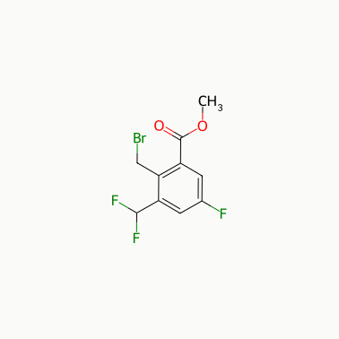 COC(=O)c1cc(F)cc(C(F)F)c1CBr